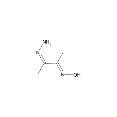 CC(=NN)C(C)=NO